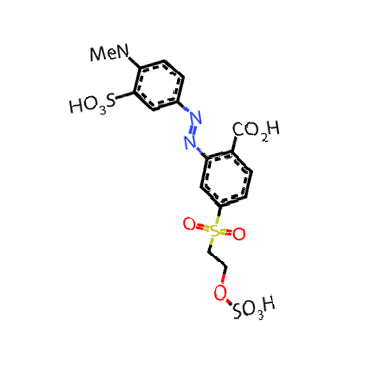 CNc1ccc(N=Nc2cc(S(=O)(=O)CCOS(=O)(=O)O)ccc2C(=O)O)cc1S(=O)(=O)O